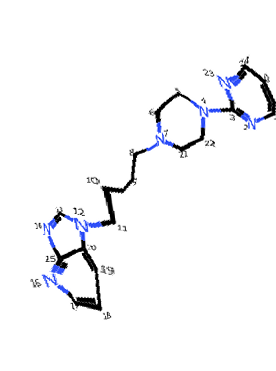 c1cnc(N2CCN(CCCCn3cnc4ncccc43)CC2)nc1